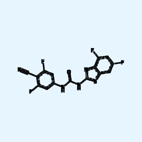 N#Cc1c(F)cc(NC(=O)Nc2nc3c(F)cc(F)cc3s2)cc1F